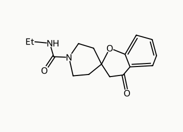 CCNC(=O)N1CCC2(CC1)CC(=O)c1ccccc1O2